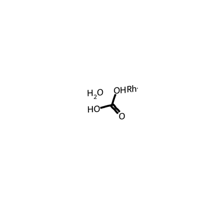 O.O=C(O)O.[Rh]